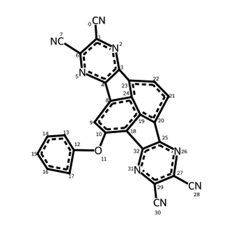 N#Cc1nc2c(nc1C#N)-c1cc(Oc3ccccc3)c3c4c(ccc-2c14)-c1nc(C#N)c(C#N)nc1-3